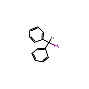 [CH2]CC(P)(c1ccccc1)c1ccccc1